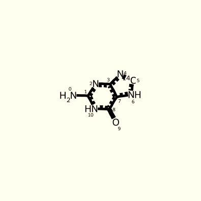 Nc1nc2n[14cH][nH]c2c(=O)[nH]1